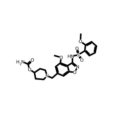 COc1ccccc1S(=O)(=O)Nc1noc2cc(CN3CCC(OC(N)=O)CC3)cc(OC)c12